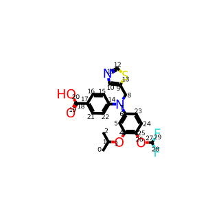 CC(C)Oc1cc(N(Cc2cncs2)c2ccc(C(=O)O)cc2)ccc1OC(F)F